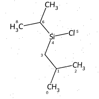 CC(C)C[Si](Cl)C(C)C